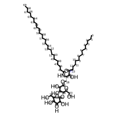 CCCCCCCCCCCCC/C=C/[C@@H](O)[C@H](CO[C@@H]1OC(CO)[C@H](O[C@@H]2OC(CO)[C@H](O)[C@H](O)C2O)[C@H](O)C1O)NC(=O)CCCCCCCCCCCCCCCCCCCCCCCCC